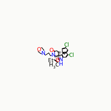 CC=C(CC)[C@@H]1N(CCCN2CCOCC2)C(=O)C[C@H](c2cccc(Cl)c2)[C@@]12C(=O)Nc1cc(Cl)ccc12